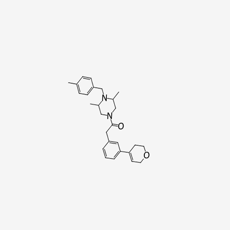 Cc1ccc(CN2C(C)CN(C(=O)Cc3cccc(C4=CCOCC4)c3)CC2C)cc1